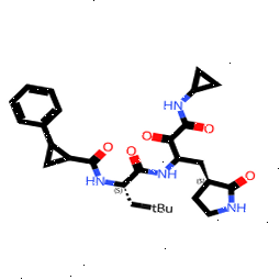 CC(C)(C)C[C@H](NC(=O)C1CC1c1ccccc1)C(=O)NC(C[C@@H]1CCNC1=O)C(=O)C(=O)NC1CC1